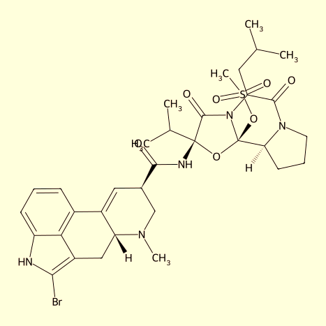 CC(C)CC1C(=O)N2CCC[C@H]2[C@]2(OS(C)(=O)=O)O[C@](NC(=O)[C@@H]3C=C4c5cccc6[nH]c(Br)c(c56)C[C@H]4N(C)C3)(C(C)C)C(=O)N12